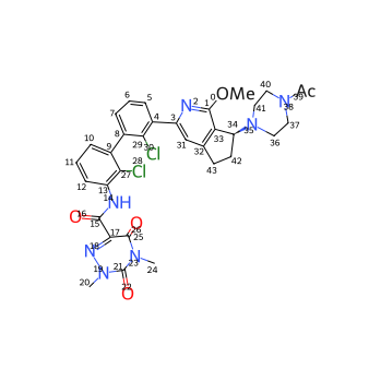 COc1nc(-c2cccc(-c3cccc(NC(=O)c4nn(C)c(=O)n(C)c4=O)c3Cl)c2Cl)cc2c1[C@@H](N1CCN(C(C)=O)CC1)CC2